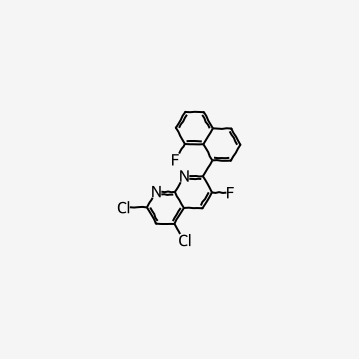 Fc1cc2c(Cl)cc(Cl)nc2nc1-c1cccc2cccc(F)c12